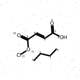 CCCC.O=C(O)/C=C/C(=O)OCl